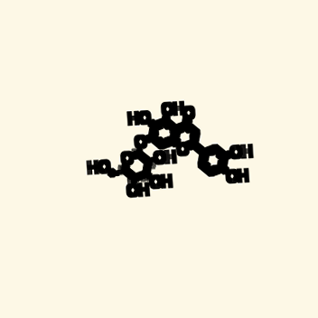 O=c1cc(-c2ccc(O)c(O)c2)oc2cc(O[C@@H]3O[C@@H](CO)[C@H](O)[C@H](O)[C@H]3O)c(O)c(O)c12